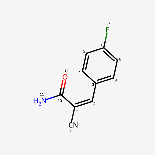 N#CC(=Cc1ccc(F)cc1)C(N)=O